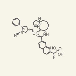 N#C[C@@H]1CN(C(=O)[C@@H]2CC[C@@H]3CCCC[C@H](NC(=O)c4ccc5ccc(C(F)P(=O)(O)O)cc5c4)C(=O)N32)C[C@H]1c1ccccc1